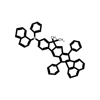 CC1(C)c2cc(N(c3ccccc3)c3cccc4ccccc34)ccc2-c2cc3c(-c4ccccc4)c4c(c(-c5ccccc5)c3cc21)-c1cccc2cccc-4c12